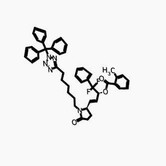 Cc1ccccc1C(=O)O[C@H](/C=C/[C@H]1CCC(=O)N1CCCCCCc1nnn(C(c2ccccc2)(c2ccccc2)c2ccccc2)n1)C(F)(F)c1ccccc1